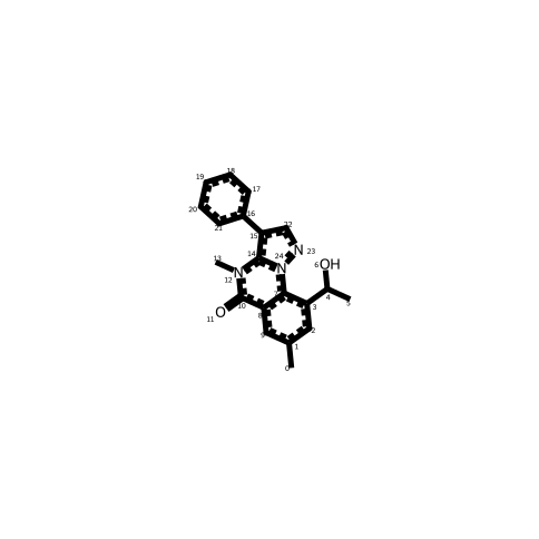 Cc1cc(C(C)O)c2c(c1)c(=O)n(C)c1c(-c3ccccc3)cnn21